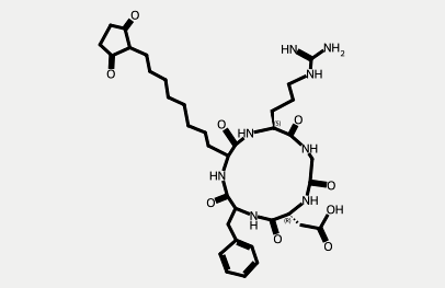 N=C(N)NCCC[C@@H]1NC(=O)C(CCCCCCCCC2C(=O)CCC2=O)NC(=O)C(Cc2ccccc2)NC(=O)[C@@H](CC(=O)O)NC(=O)CNC1=O